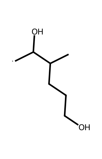 [CH2]C(O)C(C)CCCO